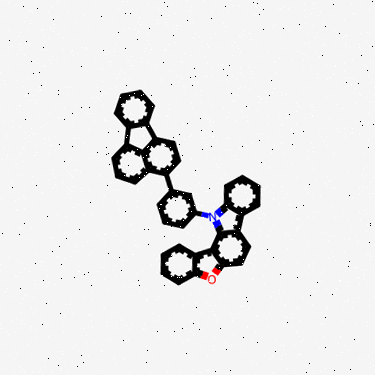 c1cc(-c2ccc3c4c(cccc24)-c2ccccc2-3)cc(-n2c3ccccc3c3ccc4oc5ccccc5c4c32)c1